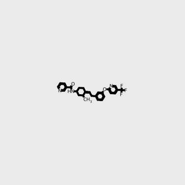 CC1CC(NC(=O)c2cccnc2)CC/C1=C/Cc1cccc(Oc2ccc(C(F)(F)F)cn2)c1